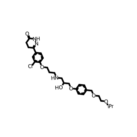 CC(C)OCCOCc1ccc(OCC(O)CNCCCOc2ccc(C3=NNC(=O)CC3)cc2Cl)cc1